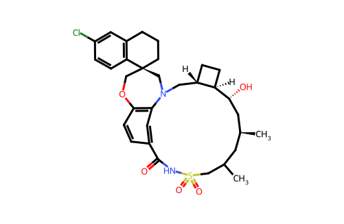 CC1C[C@H](C)C[C@@H](O)[C@@H]2CC[C@H]2CN2C[C@@]3(CCCc4cc(Cl)ccc43)COc3ccc(cc32)C(=O)NS(=O)(=O)C1